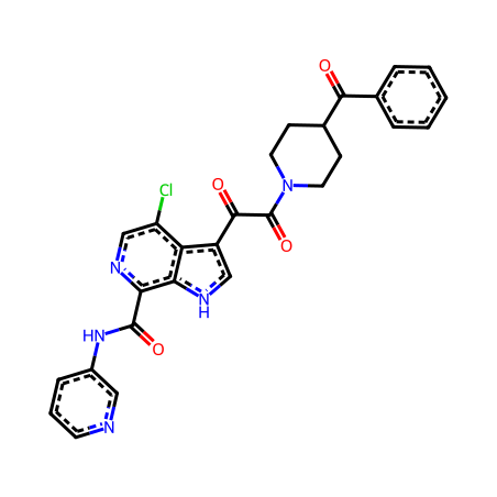 O=C(Nc1cccnc1)c1ncc(Cl)c2c(C(=O)C(=O)N3CCC(C(=O)c4ccccc4)CC3)c[nH]c12